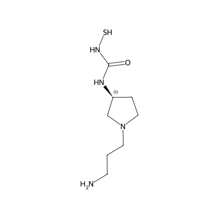 NCCCN1CC[C@H](NC(=O)NS)C1